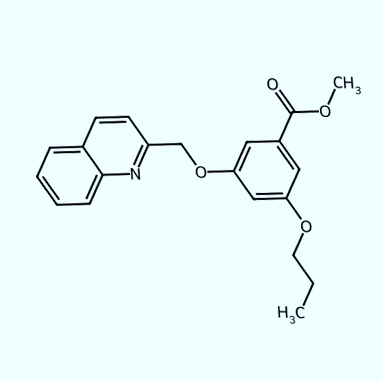 CCCOc1cc(OCc2ccc3ccccc3n2)cc(C(=O)OC)c1